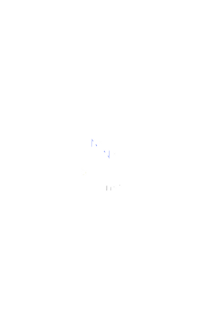 CCCc1nn[c]s1